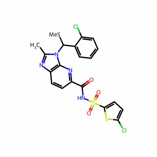 CSC(c1ccccc1Cl)n1c(C)nc2ccc(C(=O)NS(=O)(=O)c3ccc(Cl)s3)nc21